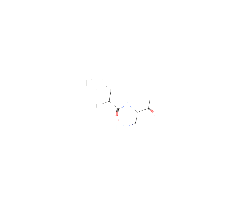 CCC(=O)[C@@H](CN)NC(=O)C(CC(=O)O)C(C)(C)C